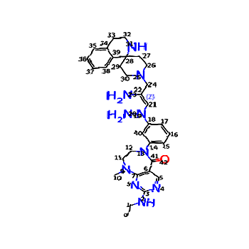 CCNc1ncc2c(n1)N(C)CCN(c1cccc(N(N)/C=C(\N)CN3CCC4(CC3)NCCc3ccccc34)c1)C2=O